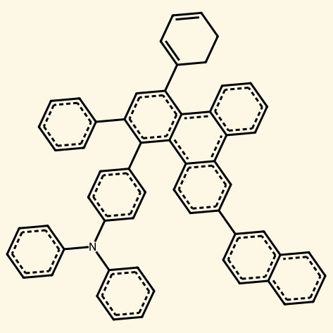 C1=CCCC(c2cc(-c3ccccc3)c(-c3ccc(N(c4ccccc4)c4ccccc4)cc3)c3c4ccc(-c5ccc6ccccc6c5)cc4c4ccccc4c23)=C1